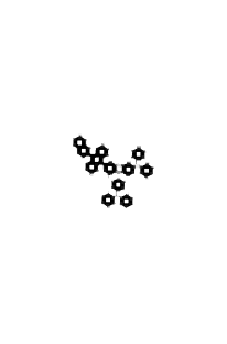 c1ccc(N(c2ccccc2)c2ccc3c(c2)Sc2cc(-c4c5ccccc5c(-c5ccc6ccccc6c5)c5ccccc45)cc4c2B3c2ccc(N(c3ccccc3)c3ccccc3)cc2S4)cc1